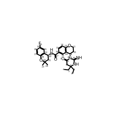 CCC1(CC)CC(=O)N([C@@H]2CCOc3ccc(C(=O)N[C@H]4CC(C)(C)Oc5ccc(F)cc54)cc32)C(=N)N1